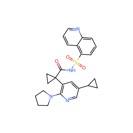 O=C(NS(=O)(=O)c1cccc2ncccc12)C1(c2cc(C3CC3)cnc2N2CCCC2)CC1